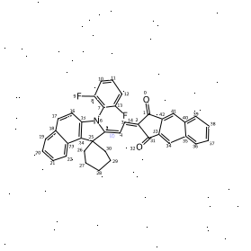 O=C1C(=C/C=C2\N(c3c(F)cccc3F)c3ccc4ccccc4c3C23CCCCC3)C(=O)c2cc3ccccc3cc21